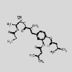 COC(=O)OC(C)[C@H](C)OC(=O)[C@@H](N)Cc1ccc(OC(=O)CC(C)C)c(OC(=O)CC(C)C)c1